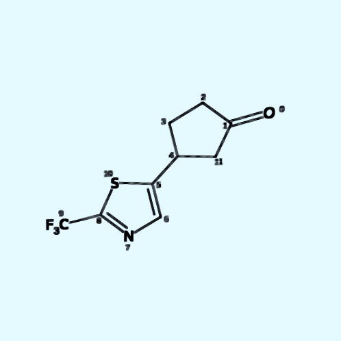 O=C1CCC(c2cnc(C(F)(F)F)s2)C1